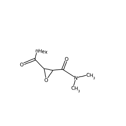 CCCCCCC(=O)C1OC1C(=O)N(C)C